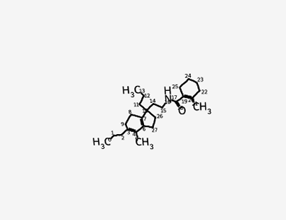 CCCC1=C(C)C2=C(CC1)C(CCC)(CCNC(=O)C1=C(C)CCCC1)CC2